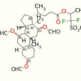 CC(CCC(=O)OC(C)C(F)(F)S(=O)(=O)O)[C@H]1CC[C@H]2[C@@H]3[C@H](OC=O)C[C@@H]4C[C@H](OC=O)CC[C@]4(C)[C@H]3C[C@H](OC=O)[C@]12C